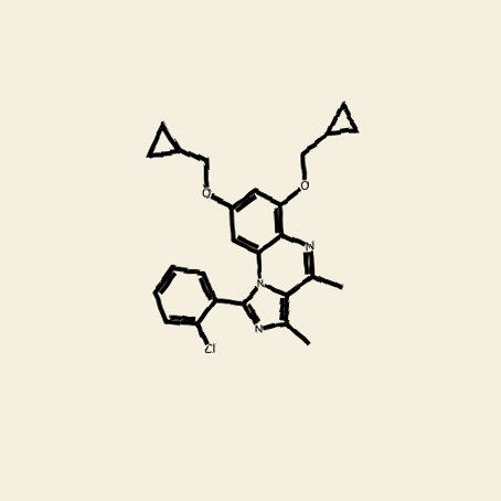 Cc1nc(-c2ccccc2Cl)n2c1c(C)nc1c(OCC3CC3)cc(OCC3CC3)cc12